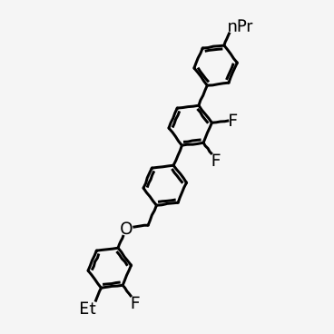 CCCc1ccc(-c2ccc(-c3ccc(COc4ccc(CC)c(F)c4)cc3)c(F)c2F)cc1